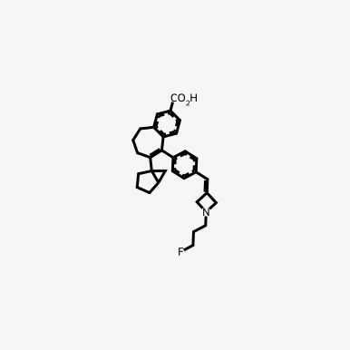 O=C(O)c1ccc2c(c1)CCCC(C13CCCC1C3)=C2c1ccc(C=C2CN(CCCF)C2)cc1